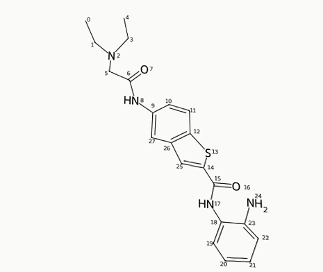 CCN(CC)CC(=O)Nc1ccc2sc(C(=O)Nc3ccccc3N)cc2c1